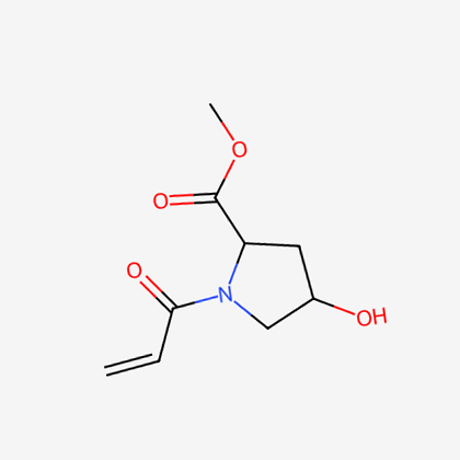 C=CC(=O)N1CC(O)CC1C(=O)OC